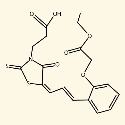 CCOC(=O)COc1ccccc1C=CC=C1SC(=S)N(CCC(=O)O)C1=O